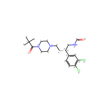 CC(C)(C)C(=O)N1CCN(CC[C@H](CNC=O)c2ccc(Cl)c(Cl)c2)CC1